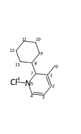 CC1=CC=CN(Cl)C1C1CCCCC1